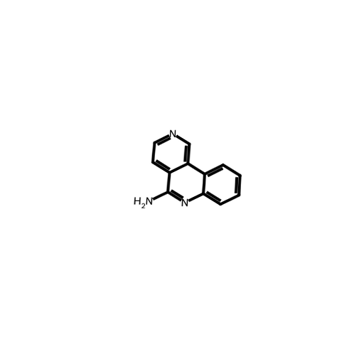 Nc1nc2ccccc2c2cnccc12